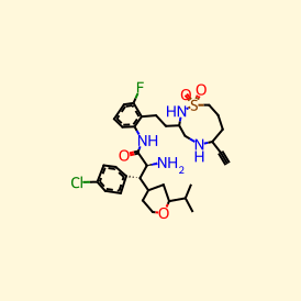 C#CC1CCCS(=O)(=O)NC(CCc2c(F)cccc2NC(=O)[C@@H](N)[C@@H](c2ccc(Cl)cc2)C2CCOC(C(C)C)C2)CN1